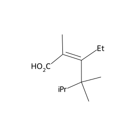 CCC(=C(C)C(=O)O)C(C)(C)C(C)C